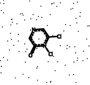 O=c1cncc(Cl)n1Cl